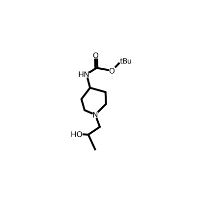 CC(O)CN1CCC(NC(=O)OC(C)(C)C)CC1